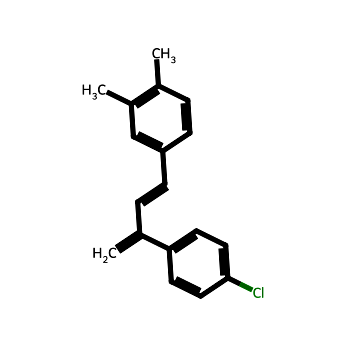 C=C(/C=C/c1ccc(C)c(C)c1)c1ccc(Cl)cc1